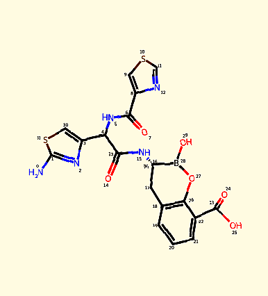 Nc1nc(C(NC(=O)c2cscn2)C(=O)N[C@H]2Cc3cccc(C(=O)O)c3OB2O)cs1